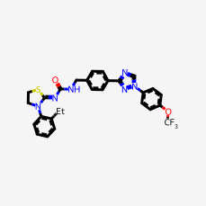 CCc1ccccc1N1CCS/C1=N\C(=O)NCc1ccc(-c2ncn(-c3ccc(OC(F)(F)F)cc3)n2)cc1